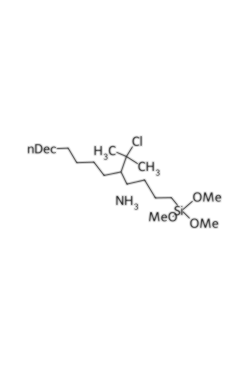 CCCCCCCCCCCCCCC(CCCC[Si](OC)(OC)OC)C(C)(C)Cl.N